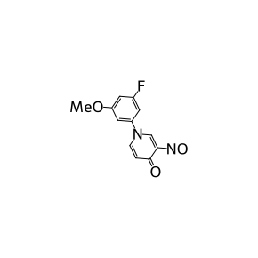 COc1cc(F)cc(-n2ccc(=O)c(N=O)c2)c1